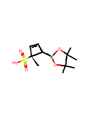 CC1(C)OB(C2C=C[C@@]2(C)S(=O)(=O)O)OC1(C)C